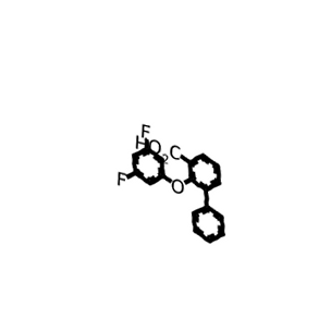 O=C(O)c1cccc(-c2ccccc2)c1Oc1cc(F)cc(F)c1